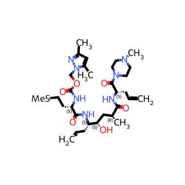 C=CC[C@H](NC(=O)[C@H](C)C[C@H](O)[C@H](CC=C)NC(=O)[C@H](CCSC)NC(=O)OCn1nc(C)cc1C)C(=O)N1CCN(C)CC1